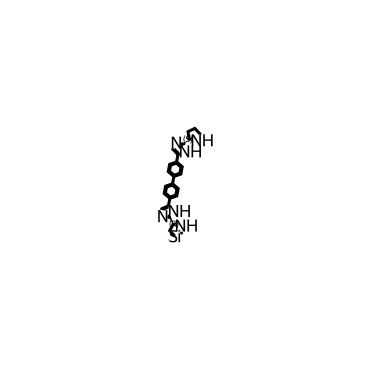 C[Si]1(C)CN[C@H](c2ncc(-c3ccc(-c4ccc(-c5cnc([C@@H]6CCCN6)[nH]5)cc4)cc3)[nH]2)C1